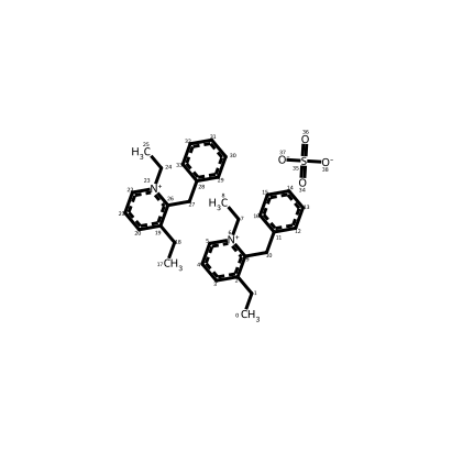 CCc1ccc[n+](CC)c1Cc1ccccc1.CCc1ccc[n+](CC)c1Cc1ccccc1.O=S(=O)([O-])[O-]